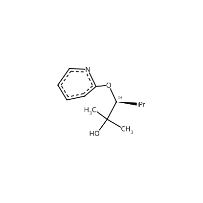 CC(C)[C@H](Oc1ccccn1)C(C)(C)O